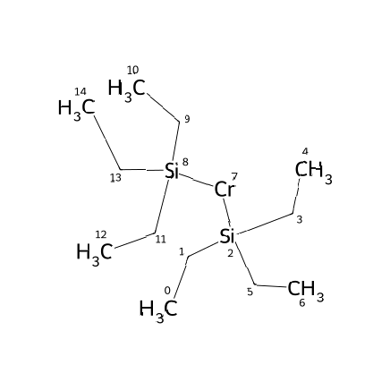 CC[Si](CC)(CC)[Cr][Si](CC)(CC)CC